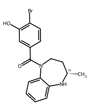 C[C@H]1CCN(C(=O)c2ccc(Br)c(O)c2)c2ccccc2N1